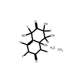 C.C.N#CC1(F)C(=O)C(F)(C#N)C(F)(C#N)C2(C#N)C1=C(F)C(F)C(=O)C2F